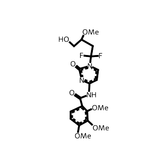 COc1ccc(C(=O)Nc2ccn(C(F)(F)CC(CO)OC)c(=O)n2)c(OC)c1OC